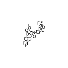 CCOC(=O)c1cn(-c2ccc3c(c2)n(CC(F)(F)F)c(=O)n3C)c(=O)n(C2CCc3c2cccc3C(F)(F)F)c1=O